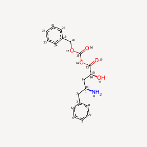 N[C@@H](Cc1ccccc1)C[C@H](O)C(=O)OC(=O)OCc1ccccc1